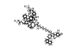 CCOP(=O)(OCC)C(=O)c1ccc2[nH]c(C(=O)N[C@H]3CN(C(=O)NCCOCCOCCOCCN(C(=O)[C@H]4CCCN(c5cncc6ccccc56)C4)c4ccc(=O)[nH]c4)CC[C@H]4CC[C@@H](C(=O)N[C@@H](CCC(N)=O)C(=O)NC(c5ccccc5)c5ccccc5)N4C3=O)cc2c1